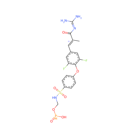 C/C(=C\c1cc(F)c(Oc2ccc(S(=O)(=O)NCO[PH](=O)O)cc2)c(F)c1)C(=O)N=C(N)N